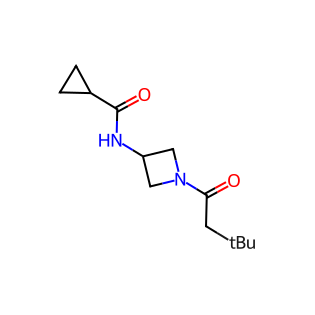 CC(C)(C)CC(=O)N1CC(NC(=O)C2CC2)C1